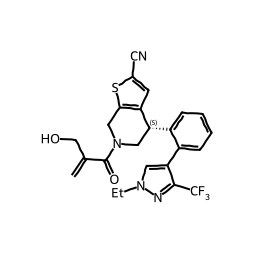 C=C(CO)C(=O)N1Cc2sc(C#N)cc2[C@H](c2ccccc2-c2cn(CC)nc2C(F)(F)F)C1